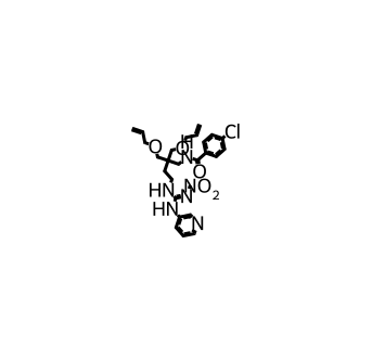 C=CCOCC(CCNC(=N[N+](=O)[O-])Nc1cccnc1)(CNC(=O)c1ccc(Cl)cc1)COCC=C